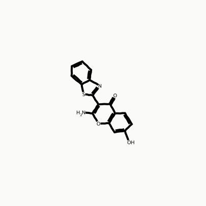 Nc1oc2cc(O)ccc2c(=O)c1-c1nc2ccccc2s1